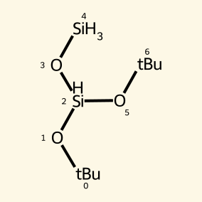 CC(C)(C)O[SiH](O[SiH3])OC(C)(C)C